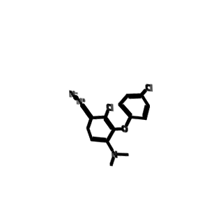 CN(C)C1=CCC(=[N+]=[N-])C(Cl)=C1Oc1ccc(Cl)cc1